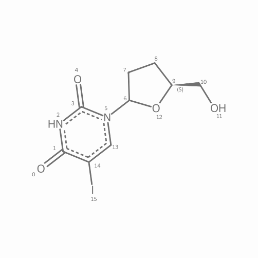 O=c1[nH]c(=O)n(C2CC[C@@H](CO)O2)cc1I